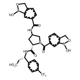 O=C(O)C[C@H](NC(=O)[C@@H]1CC(NC(=O)c2ccc3c(c2)B(O)OC3)CN1C(=O)c1ccc2c(c1)B(O)OC2)c1ccc(C(F)(F)F)cc1